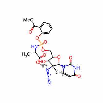 COC(=O)c1ccccc1OP(=O)(N[C@@H](C)C(=O)OC(C)C)OC[C@H]1O[C@@H](n2ccc(=O)[nH]c2=O)[C@](C)(N=[N+]=[N-])[C@@H]1O